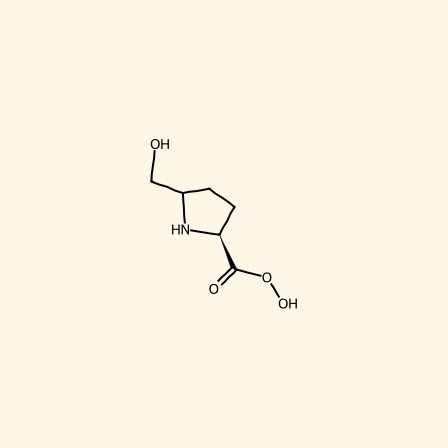 O=C(OO)[C@@H]1CCC(CO)N1